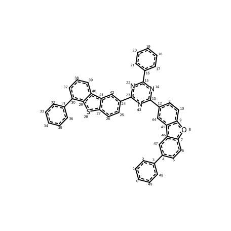 c1ccc(-c2ccc3oc4ccc(-c5nc(-c6ccccc6)nc(-c6ccc7sc8c(-c9ccccc9)cccc8c7c6)n5)cc4c3c2)cc1